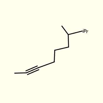 [CH2]C(C)C(C)CCCC#CC